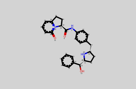 O=C(Nc1ccc(C[C@@H]2CC[C@H](C(O)c3ccccc3)N2)cc1)[C@@H]1CCc2cccc(=O)n21